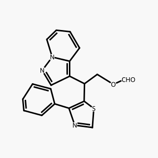 O=COCC(c1scnc1-c1ccccc1)c1cnn2ccccc12